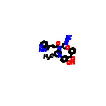 C=C1CCCN(c2ccc(O)c(C(=O)c3cccc(OC[C@@H](CN=[N+]=[N-])NC(=O)/C=C/c4c[nH]c5ncccc45)c3)c2)C1